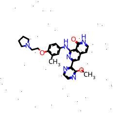 COc1nccnc1-c1cc2cc[nH]c(=O)c2c(Nc2ccc(OCCN3CCCC3)c(C)c2)n1